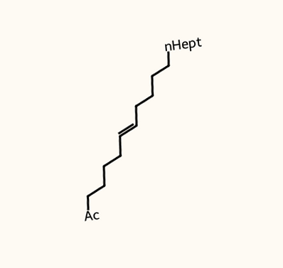 CCCCCCCCCCCC=CCCCCC(C)=O